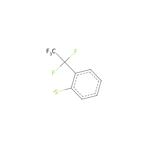 FC(F)(F)C(F)(F)c1ccccc1[S]